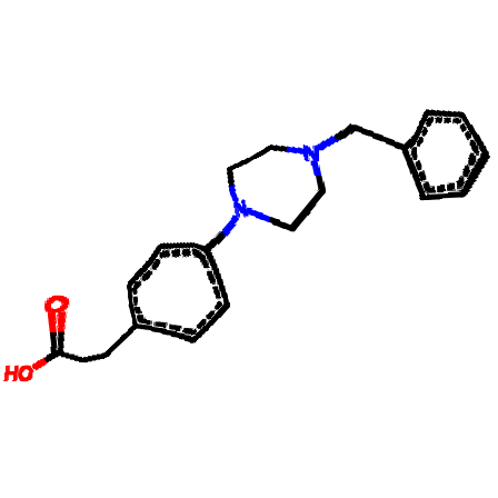 O=C(O)Cc1ccc(N2CCN(Cc3ccccc3)CC2)cc1